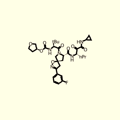 CCC[C@H](NC(=O)[C@@H]1C[C@]2(CC(c3cccc(F)c3)=NO2)CN1C(=O)[C@@H](NC(=O)O[C@H]1CCOC1)C(C)(C)C)C(=O)C(=O)NC1CC1